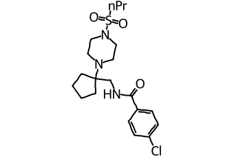 CCCS(=O)(=O)N1CCN(C2(CNC(=O)c3ccc(Cl)cc3)CCCC2)CC1